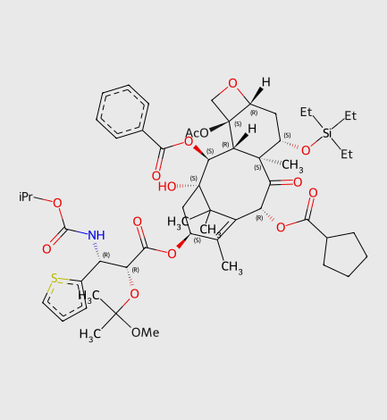 CC[Si](CC)(CC)O[C@H]1C[C@H]2OC[C@@]2(OC(C)=O)[C@H]2[C@H](OC(=O)c3ccccc3)[C@]3(O)C[C@H](OC(=O)[C@H](OC(C)(C)OC)[C@@H](NC(=O)OC(C)C)c4cccs4)C(C)=C([C@@H](OC(=O)C4CCCC4)C(=O)[C@]12C)C3(C)C